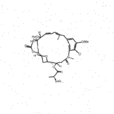 CN[C@@H](C)C(=O)O[C@H]1CC(=O)N(C)c2cc(cc(OC)c2Cl)C/C(C)=C/C=C/[C@@H](OC)[C@@]2(O)C[C@H](OC(=O)N2)C2(C)C[C@@]1(C)O2